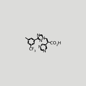 Cc1cc(-c2ncn(C=C(C(=O)O)c3cncnc3)n2)cc(C(F)(F)F)c1